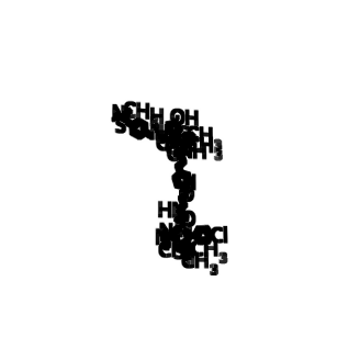 Cc1ncsc1-c1ccc(CNC(=O)[C@@H]2C[C@@H](O)CN2C(=O)C(NC(=O)CCc2ccc(OCCNC(=O)C[C@@H]3N=C(c4ccc(Cl)cc4)c4c(sc(C)c4C)-n4c(C)nnc43)nc2)C(C)(C)C)cc1